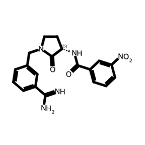 N=C(N)c1cccc(CN2CC[C@H](NC(=O)c3cccc([N+](=O)[O-])c3)C2=O)c1